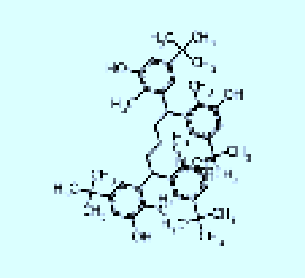 Cc1c(O)cc(C(C)(C)C)cc1C(CCCC(c1cc(C(C)(C)C)cc(O)c1C)c1cc(C(C)(C)C)cc(O)c1C)c1cc(C(C)(C)C)cc(O)c1C